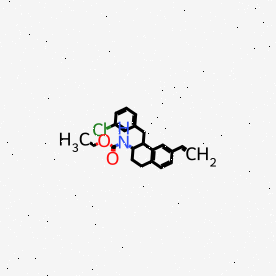 C=Cc1ccc2c(c1)C(Cc1cccc(Cl)c1)C(NC(=O)OCC)CC2